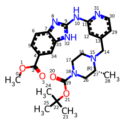 COC(=O)c1ccc2nc(Nc3cc(CN4CCN(C(=O)OC(C)(C)C)C[C@H]4C)ccn3)[nH]c2c1